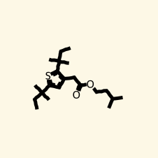 CCC(C)(C)c1cc(CC(=O)OCCC(C)C)c(C(C)(C)CC)s1